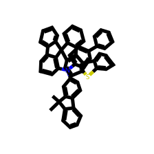 CC1(C)c2ccccc2-c2ccc(N(c3ccc(-c4ccccc4)cc3)c3cccc4c3C3(c5ccccc5-4)c4ccccc4-c4c3ccc3sc5ccccc5c43)cc21